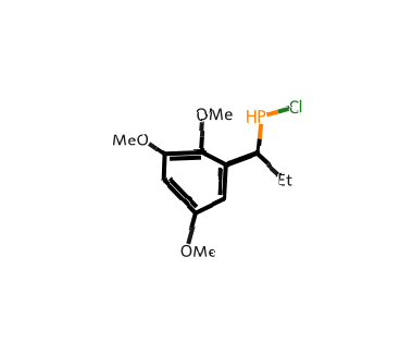 CCC(PCl)c1cc(OC)cc(OC)c1OC